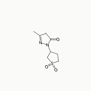 CC1=NN(C2CCS(=O)(=O)C2)C(=O)[CH]1